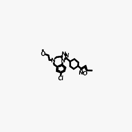 COCCN1Cc2cc(Cl)ccc2-n2c(nnc2C2CCC(c3cc(C)on3)CC2)C1